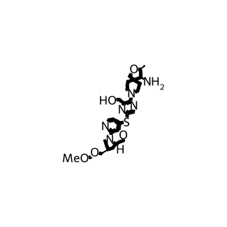 COCOC[C@@H]1C[C@@H]2COc3c(Sc4cnc(N5CCC6(CC5)CO[C@@H](C)[C@H]6N)c(CO)n4)ccnc3N2C1